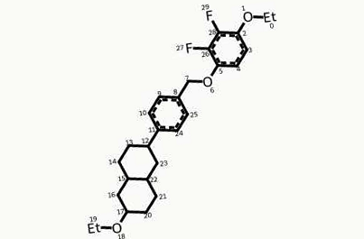 CCOc1ccc(OCc2ccc(C3CCC4CC(OCC)CCC4C3)cc2)c(F)c1F